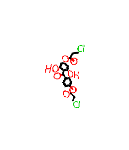 O=C(CCCl)Oc1ccc(C(=O)c2ccc(OC(=O)CCCl)cc2O)c(O)c1